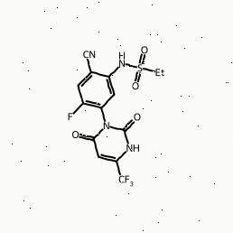 CCS(=O)(=O)Nc1cc(-n2c(=O)cc(C(F)(F)F)[nH]c2=O)c(F)cc1C#N